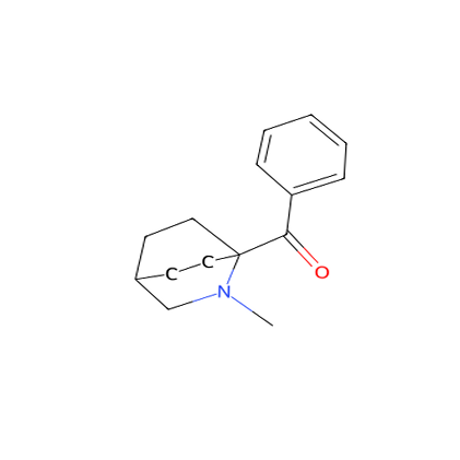 CN1CC2CCC1(C(=O)c1ccccc1)CC2